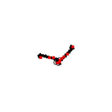 C(CCCCCC1CCCC1)CCCCCC(OC(CCCCCCCCCCCC1CCCC1)C1CO1)C1CO1